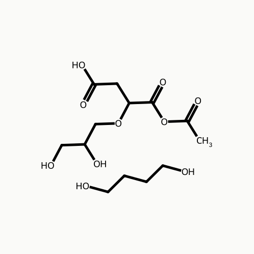 CC(=O)OC(=O)C(CC(=O)O)OCC(O)CO.OCCCCO